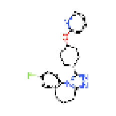 Fc1ccc2c(c1)CCCc1nnc([C@H]3CC[C@H](Oc4ccccn4)CC3)n1-2